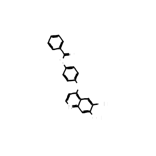 O=C(Nc1ccc(Oc2ccnc3cc(O)c(O)cc23)cc1)c1ccccc1